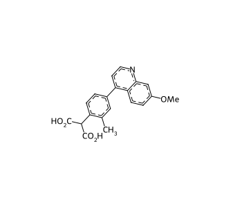 COc1ccc2c(-c3ccc(C(C(=O)O)C(=O)O)c(C)c3)ccnc2c1